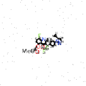 CCc1nc2c(F)ccc(OCC(=O)OC)c2c(OC(F)F)c1Cc1ccc(-n2nccc2C2CC2)cc1